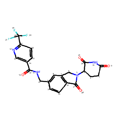 O=C1CCC(N2Cc3cc(CNC(=O)c4ccc(C(F)(F)F)nc4)ccc3C2=O)C(=O)N1